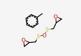 C1OC1CSOSCC1CO1.Cc1ccccc1